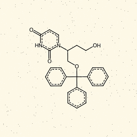 O=c1ccn(C(CCO)COC(c2ccccc2)(c2ccccc2)c2ccccc2)c(=O)[nH]1